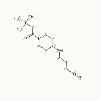 CC(C)(C)CC(=O)N1CCC(NCCCC#N)CC1